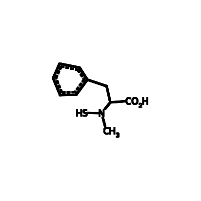 CN(S)C(Cc1ccccc1)C(=O)O